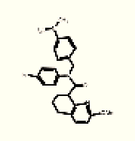 COc1ccc2c(n1)C(C(=O)N(Cc1ccc(N(C)C)cc1)c1ccc(C(C)C)cc1)CCC2